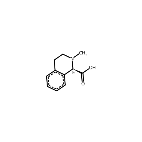 CN1CCc2ccccc2[C@@H]1C(=O)O